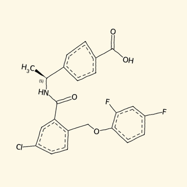 C[C@H](NC(=O)c1cc(Cl)ccc1COc1ccc(F)cc1F)c1ccc(C(=O)O)cc1